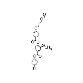 COc1cc(C(=O)Oc2ccc(Cl)cc2)ccc1OC(=O)c1ccc(OCCCOC=O)cc1